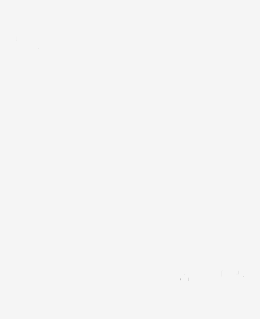 CCCCC(O)C=CCCCCCCCCCCCCC(=O)O